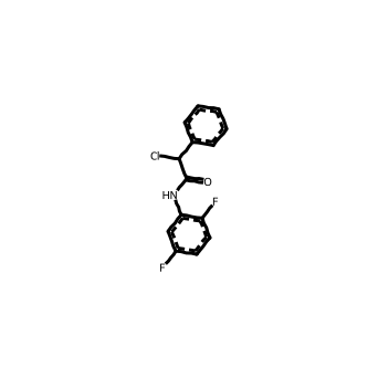 O=C(Nc1cc(F)ccc1F)C(Cl)c1ccccc1